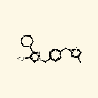 Cc1cnn(Cc2ccc(Cn3cc(C(=O)O)c(N4CCOCC4)n3)cc2)c1